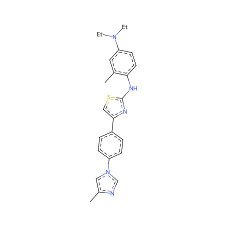 CCN(CC)c1ccc(Nc2nc(-c3ccc(-n4cnc(C)c4)cc3)cs2)c(C)c1